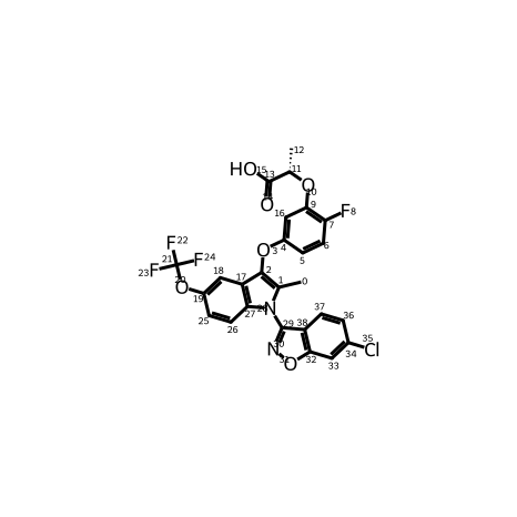 Cc1c(Oc2ccc(F)c(O[C@@H](C)C(=O)O)c2)c2cc(OC(F)(F)F)ccc2n1-c1noc2cc(Cl)ccc12